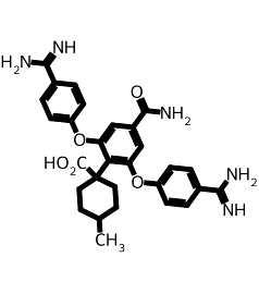 CC1CCC(C(=O)O)(c2c(Oc3ccc(C(=N)N)cc3)cc(C(N)=O)cc2Oc2ccc(C(=N)N)cc2)CC1